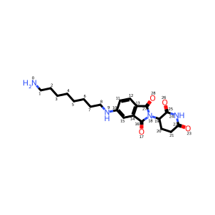 NCCCCCCCCNc1ccc2c(c1)C(=O)N(C1CCC(=O)NC1=O)C2=O